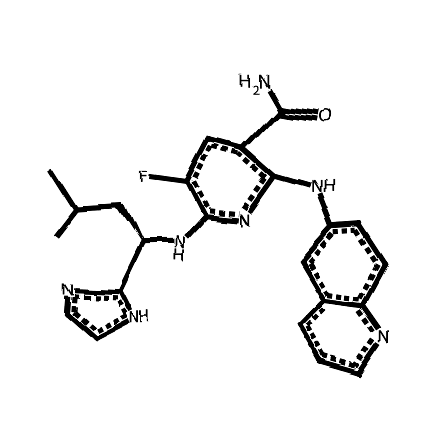 CC(C)C[C@@H](Nc1nc(Nc2ccc3ncccc3c2)c(C(N)=O)cc1F)c1ncc[nH]1